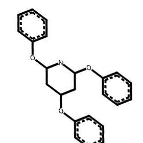 c1ccc(OC2CC(Oc3ccccc3)[N]C(Oc3ccccc3)C2)cc1